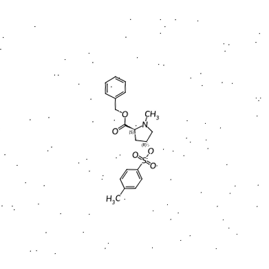 Cc1ccc(S(=O)(=O)O[C@@H]2C[C@@H](C(=O)OCc3ccccc3)N(C)C2)cc1